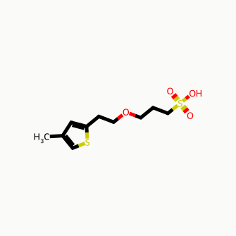 Cc1csc(CCOCCCS(=O)(=O)O)c1